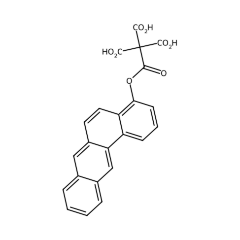 O=C(O)C(C(=O)O)(C(=O)O)C(=O)Oc1cccc2c1ccc1cc3ccccc3cc12